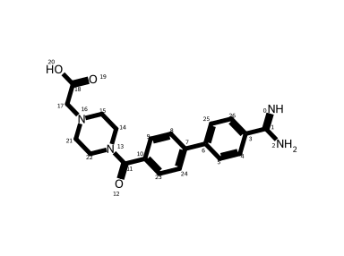 N=C(N)c1ccc(-c2ccc(C(=O)N3CCN(CC(=O)O)CC3)cc2)cc1